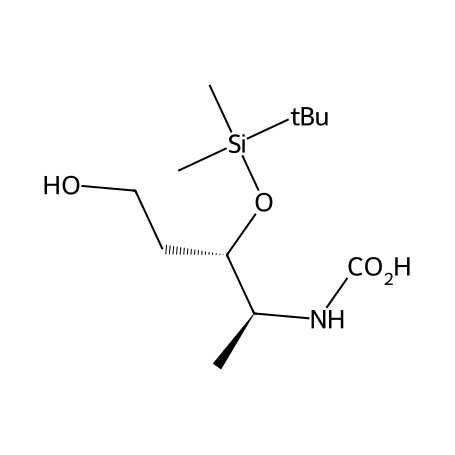 C[C@H](NC(=O)O)[C@H](CCO)O[Si](C)(C)C(C)(C)C